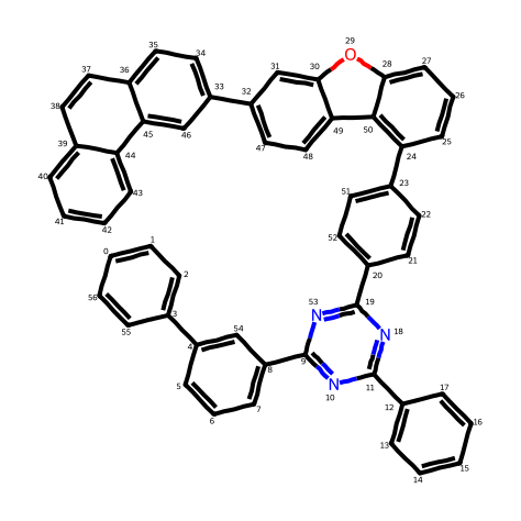 c1ccc(-c2cccc(-c3nc(-c4ccccc4)nc(-c4ccc(-c5cccc6oc7cc(-c8ccc9ccc%10ccccc%10c9c8)ccc7c56)cc4)n3)c2)cc1